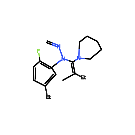 C=NN(/C(=C(\C)CC)N1CCCCC1)c1cc(CC)ccc1F